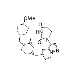 CO[C@H]1CC[C@@H](CN2CCN(Cc3ccn4ncc(N5CCC(=O)NC5=O)c4c3)C[C@@H]2C)CC1